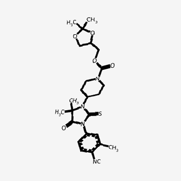 [C-]#[N+]c1ccc(N2C(=O)C(C)(C)N(C3CCN(C(=O)OCC4COC(C)(C)O4)CC3)C2=S)cc1C